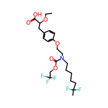 CCOC(Cc1ccc(OCCN(CCCCCC(C)(F)F)C(=O)OCC(F)(F)F)cc1)C(=O)O